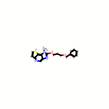 Cn1c(OCCCOCc2ccccc2)nc2cnc3ccsc3c21